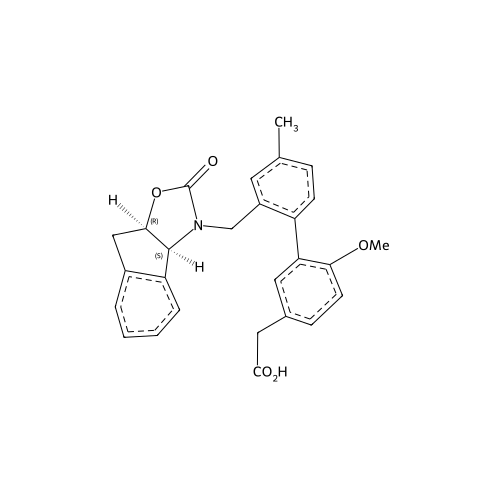 COc1ccc(CC(=O)O)cc1-c1ccc(C)cc1CN1C(=O)O[C@@H]2Cc3ccccc3[C@@H]21